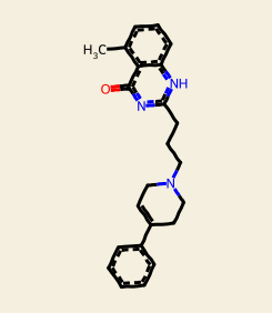 Cc1cccc2[nH]c(CCCN3CC=C(c4ccccc4)CC3)nc(=O)c12